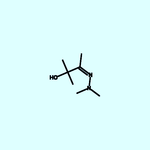 C/C(=N/N(C)C)C(C)(C)O